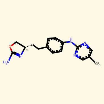 NC1=N[C@@H](CCc2ccc(Nc3ncc(C(F)(F)F)cn3)cc2)CO1